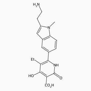 CCc1c(-c2ccc3c(c2)cc(CCN)n3C)[nH]c(=O)c(C(=O)O)c1O